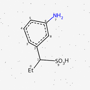 CCC(c1cccc(N)c1)S(=O)(=O)O